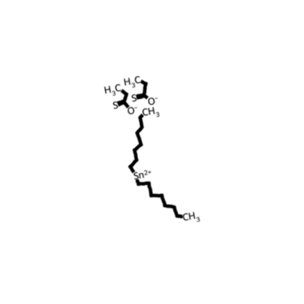 CCC([O-])=S.CCC([O-])=S.CCCCCCC[CH2][Sn+2][CH2]CCCCCCC